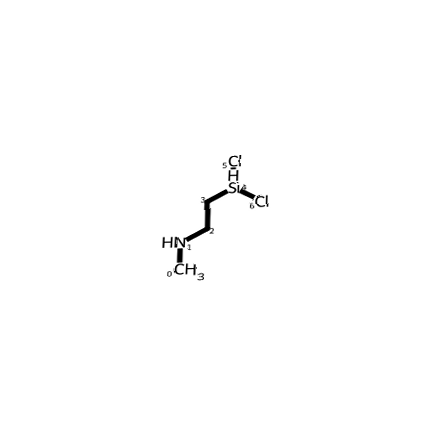 CNCC[SiH](Cl)Cl